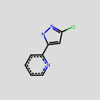 ClC1=N[N]C(c2ccccn2)=C1